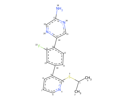 CC(C)Sc1ncccc1-c1ccc(-c2cnc(N)cn2)c(F)c1